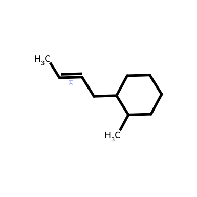 C/C=C/CC1CCCC[C]1C